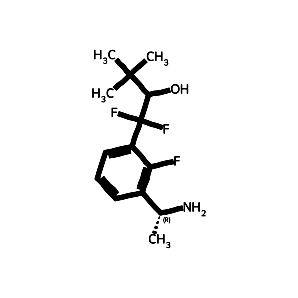 C[C@@H](N)c1cccc(C(F)(F)C(O)C(C)(C)C)c1F